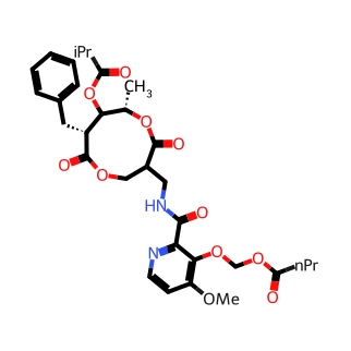 CCCC(=O)OCOc1c(OC)ccnc1C(=O)NCC1COC(=O)[C@H](Cc2ccccc2)C(OC(=O)C(C)C)[C@H](C)OC1=O